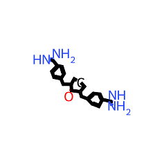 N=C(N)c1ccc(CC2CCCC(Cc3ccc(C(=N)N)cc3)C2=O)cc1